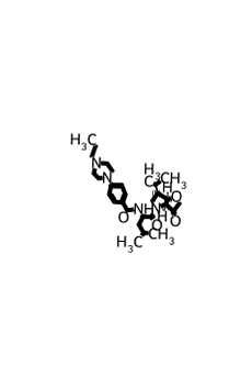 CCCN1CCN(c2ccc(C(=O)NC(CC(C)C)C(=O)N3C[C@@H](C(C)C)[C@H]4OCC(=O)[C@H]43)cc2)CC1